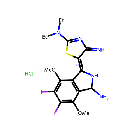 CCN(CC)C1=NC(=N)/C(=C2\NC(N)c3c(OC)c(I)c(I)c(OC)c32)S1.Cl